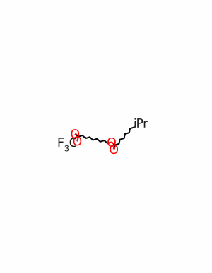 CC(C)CCCCCCCC(=O)OCCCCCCCCC(=O)OC(F)(F)F